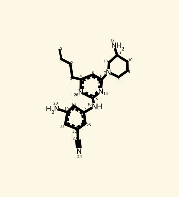 CCCCc1cc(N2CCCC(N)C2)nc(Nc2cc(N)cc(C#N)c2)n1